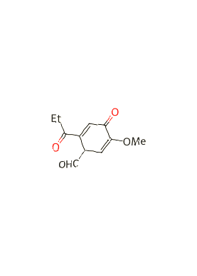 CCC(=O)C1=CC(=O)C(OC)=CC1C=O